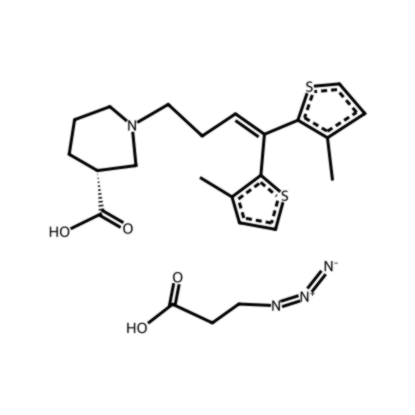 Cc1ccsc1C(=CCCN1CCC[C@@H](C(=O)O)C1)c1sccc1C.[N-]=[N+]=NCCC(=O)O